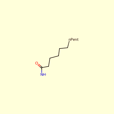 [CH2]CCCCCCCCCC([NH])=O